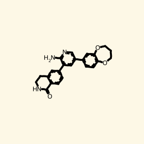 Nc1ncc(-c2ccc3c(c2)OCCCO3)cc1-c1ccc2c(c1)CCNC2=O